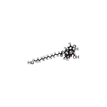 CC(=O)O[C@@]12[C@H](OC(=O)CCCCCCCCCCCCCCCO)[C@@H](C)[C@@]3(O)[C@@H](C=C(CO)C[C@]4(O)C(=O)C(C)=C[C@@H]34)[C@H]1C2(C)C